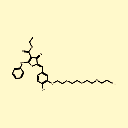 CCOC(=O)C1=C(Nc2ccccc2)S/C(=C\c2ccc(O)c(OCCOCCOCCOCCN)c2)C1=O